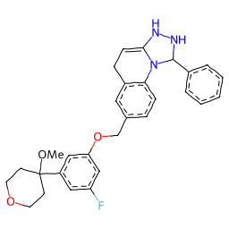 COC1(c2cc(F)cc(OCc3ccc4c(c3)CC=C3NNC(c5ccccc5)N34)c2)CCOCC1